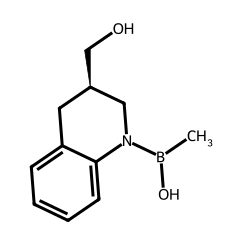 CB(O)N1C[C@H](CO)Cc2ccccc21